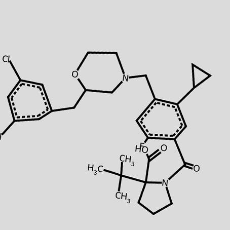 CC(C)(C)C1(C(=O)O)CCCN1C(=O)c1cc(C2CC2)c(CN2CCOC(Cc3cc(Cl)cc(Cl)c3)C2)cc1F